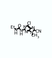 CCNC(=O)Nc1nc(Cl)c2nc(C#N)n(C)c2n1